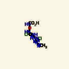 Cn1cc(-n2cnc3c(NCc4nc5cc(Cl)c(NCCOCCNC(=O)O)cc5[nH]4)nc(Cl)nc32)cn1